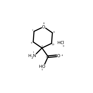 Cl.NC1(C(=O)O)CCOCC1